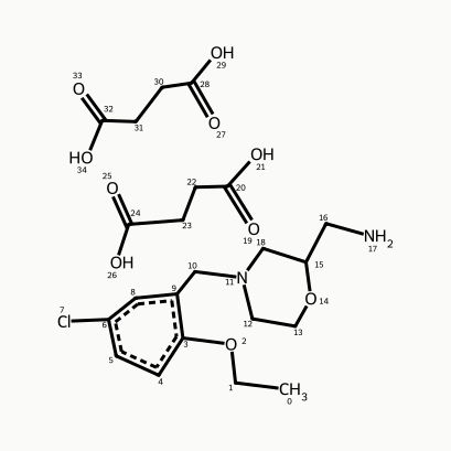 CCOc1ccc(Cl)cc1CN1CCOC(CN)C1.O=C(O)CCC(=O)O.O=C(O)CCC(=O)O